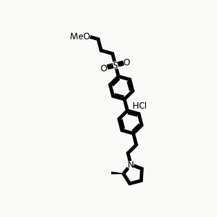 COCCCS(=O)(=O)c1ccc(-c2ccc(CCN3CCC[C@H]3C)cc2)cc1.Cl